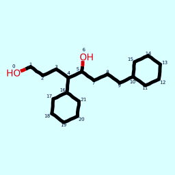 OCCCC(C(O)CCCC1CCCCC1)C1CCCCC1